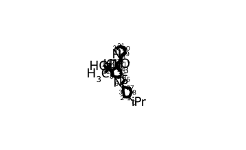 CC(C)[C@H]1CC[C@H](c2nc3cc(C(C)(C)O)c(NC(=O)c4ccccn4)cc3s2)CC1